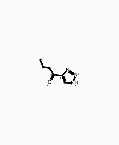 CCCC(=O)c1c[nH]nn1